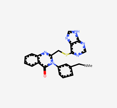 CNCc1cccc(-n2c(CSc3ncnc4[nH]cnc34)nc3ccccc3c2=O)c1